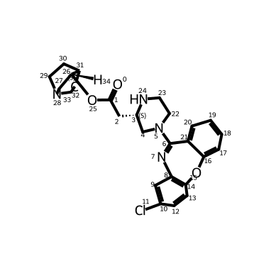 O=C(C[C@H]1CN(C2=Nc3cc(Cl)ccc3Oc3ccccc32)CCN1)O[C@@H]1CN2CCC1CC2